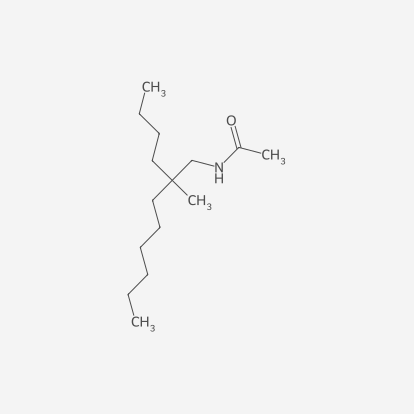 CCCCCCC(C)(CCCC)CNC(C)=O